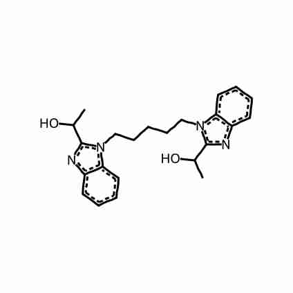 CC(O)c1nc2ccccc2n1CCCCCn1c(C(C)O)nc2ccccc21